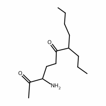 CCCCC(CCC)C(=O)CCC(N)C(C)=O